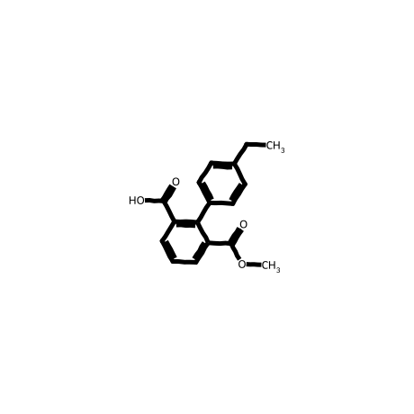 CCc1ccc(-c2c(C(=O)O)cccc2C(=O)OC)cc1